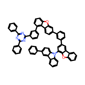 c1ccc(-c2ccc3c(c2)c2ccccc2n3-c2cc(-c3cccc(-c4ccc5c(c4)oc4cccc(-c6cccc(-c7nc(-c8ccccc8)nc(-c8ccccc8)n7)c6)c45)c3)cc3c2oc2ccccc23)cc1